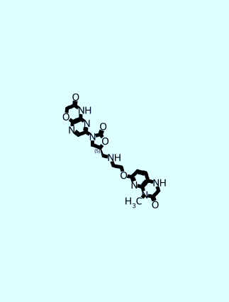 CN1C(=O)CNc2ccc(OCCNC[C@H]3CN(c4cnc5c(n4)NC(=O)CO5)C(=O)O3)nc21